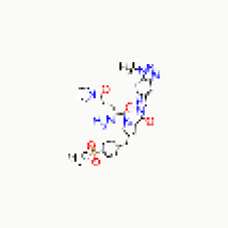 Cn1nnc2c1CCC(CNC(=O)C1CC(Cc3ccc(S(C)(=O)=O)cc3)CN1C(=O)C(N)CCC(=O)N1CCCC1)=C2